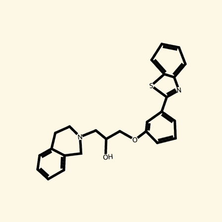 OC(COc1cccc(-c2nc3ccccc3s2)c1)CN1CCc2ccccc2C1